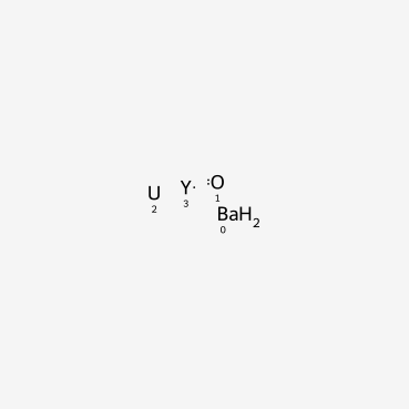 [BaH2].[O].[U].[Y]